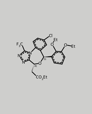 CCOC(=O)C[C@H]1O[C@H](c2cccc(OCC)c2OCC)c2cc(Cl)ccc2-n2c1nnc2C(F)(F)F